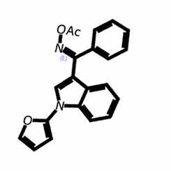 CC(=O)O/N=C(\c1ccccc1)c1cn(-c2ccco2)c2ccccc12